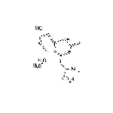 Cl.NC(Cc1cc(=O)[nH]c2ccccc12)C(=O)O.O.O